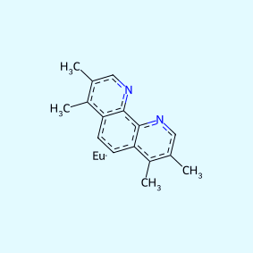 Cc1cnc2c(ccc3c(C)c(C)cnc32)c1C.[Eu]